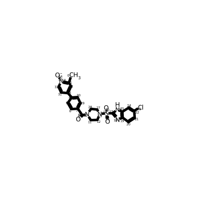 Cc1cc(-c2ccc(C(=O)N3CCN(S(=O)(=O)c4nc5ccc(Cl)cc5[nH]4)CC3)cc2)cc[n+]1[O-]